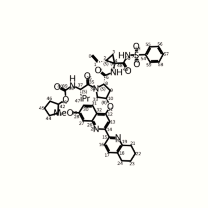 C=C[C@@H]1C[C@]1(NC(=O)[C@@H]1C[C@@H](Oc2cc(-c3ccc4c(n3)CCCC4)nc3cc(OC)ccc23)CN1C(=O)[C@@H](NC(=O)OC1CCCC1)C(C)C)C(=O)NS(=O)(=O)c1ccccc1